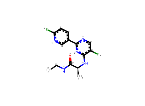 C[C@H](Nc1nc(-c2ccc(F)nc2)ncc1F)C(=O)NCC(F)(F)F